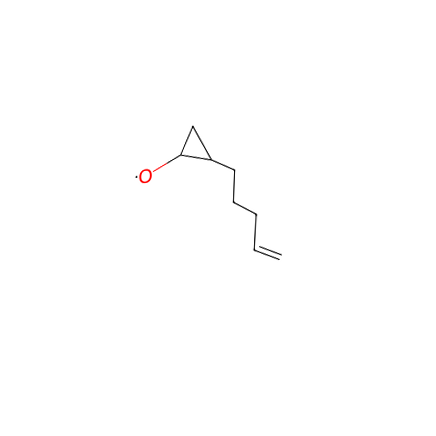 C=CCCCC1CC1[O]